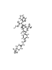 CCOC(=O)C(c1ncn2c1CCC2)n1cc2c(C(F)F)cc(-c3ccc(OCCN4CCC(C(C)O)CC4)cc3)c(C)c2n1